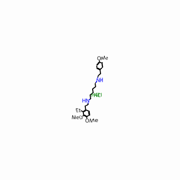 CCc1c(CCNCCCCCCNCCc2ccc(OC)cc2)ccc(OC)c1OC.Cl.Cl